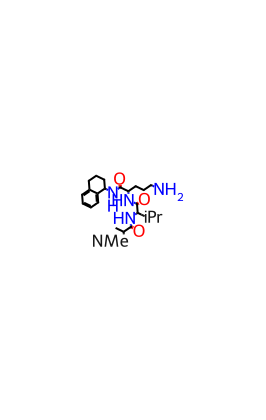 CNC(C)C(=O)NC(C(=O)NC(CCCN)C(=O)NC1CCCc2ccccc21)C(C)C